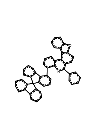 c1ccc(-c2nc3c(-c4cccc5c4-c4ccccc4C54c5ccccc5-c5ccccc54)cccc3c3c2ccc2oc4ccccc4c23)cc1